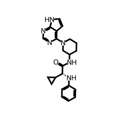 O=C(NC1CCCN(c2ncnc3[nH]ccc23)C1)[C@H](Nc1ccccc1)C1CC1